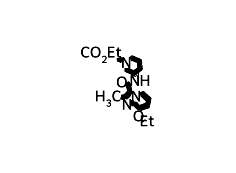 CCOC(=O)CN1CCC[C@H](NC(=O)c2c(C)nc3c(OCC)cccn23)C1